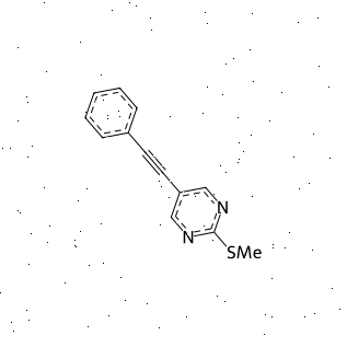 CSc1ncc(C#Cc2ccccc2)cn1